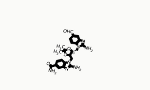 CC1(C)OC(Cn2c(N)nc3cc(C(N)=O)ccc32)[C@@H](Cn2c(N)nc3cc(C=O)ccc32)O1